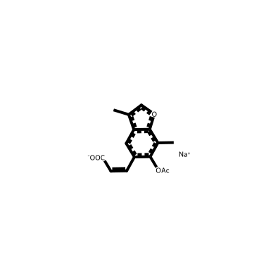 CC(=O)Oc1c(/C=C\C(=O)[O-])cc2c(C)coc2c1C.[Na+]